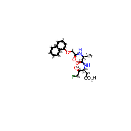 CC(C)[C@H](NC(=O)COc1cccc2ccccc12)C(=O)N[C@@H](CC(=O)O)C(=O)CF